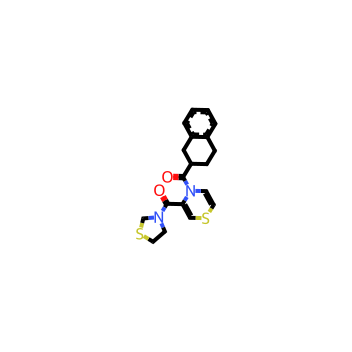 O=C(C1=CSC=CN1C(=O)C1CCc2ccccc2C1)N1CCSC1